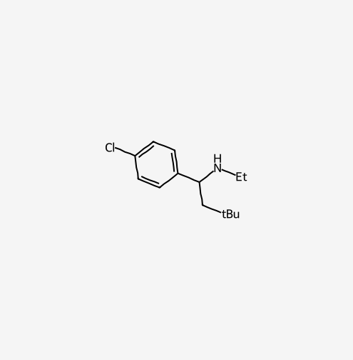 CCNC(CC(C)(C)C)c1ccc(Cl)cc1